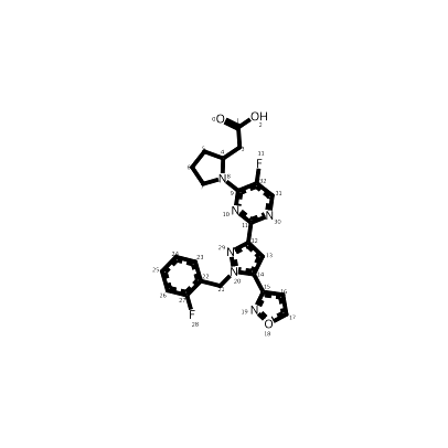 O=C(O)CC1CCCN1c1nc(-c2cc(-c3ccon3)n(Cc3ccccc3F)n2)ncc1F